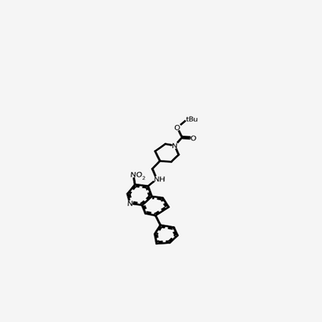 CC(C)(C)OC(=O)N1CCC(CNc2c([N+](=O)[O-])cnc3cc(-c4ccccc4)ccc23)CC1